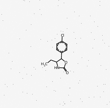 CCC1NC(=O)OC1c1ccc(Cl)cc1